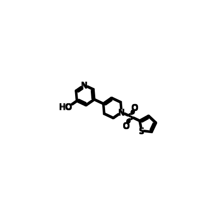 O=S(=O)(c1cccs1)N1CC=C(c2cncc(O)c2)CC1